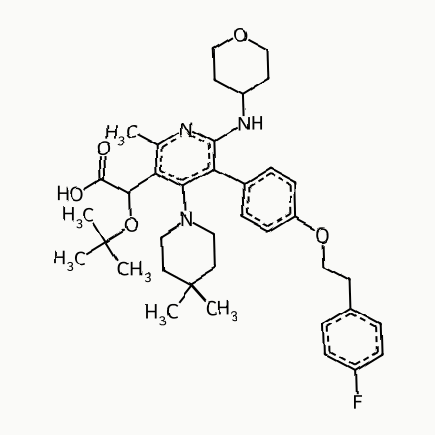 Cc1nc(NC2CCOCC2)c(-c2ccc(OCCc3ccc(F)cc3)cc2)c(N2CCC(C)(C)CC2)c1C(OC(C)(C)C)C(=O)O